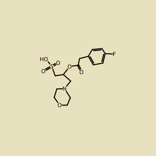 O=C(Cc1ccc(F)cc1)OC(CN1CCOCC1)CS(=O)(=O)O